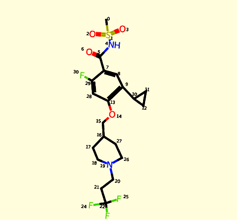 CS(=O)(=O)NC(=O)c1cc(C2CC2)c(OCC2CCN(CCC(F)(F)F)CC2)cc1F